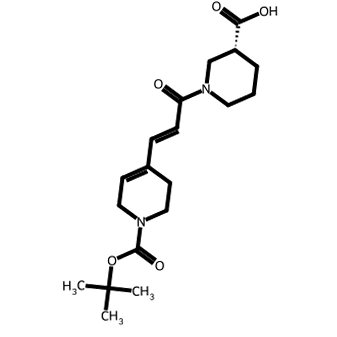 CC(C)(C)OC(=O)N1CC=C(/C=C/C(=O)N2CCC[C@@H](C(=O)O)C2)CC1